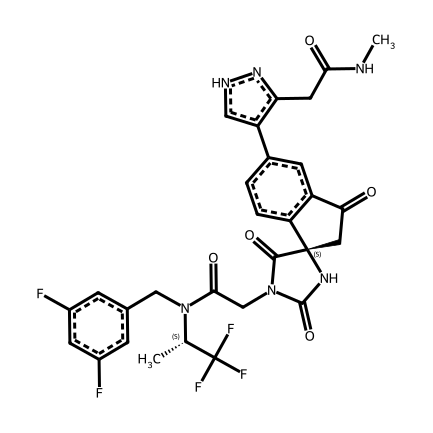 CNC(=O)Cc1n[nH]cc1-c1ccc2c(c1)C(=O)C[C@]21NC(=O)N(CC(=O)N(Cc2cc(F)cc(F)c2)[C@@H](C)C(F)(F)F)C1=O